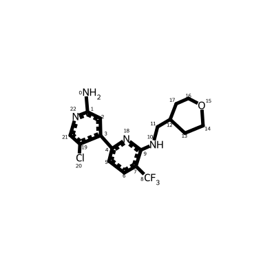 Nc1cc(-c2ccc(C(F)(F)F)c(NCC3CCOCC3)n2)c(Cl)cn1